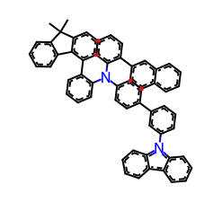 CC1(C)c2ccccc2-c2c(-c3ccccc3N(c3ccc(-c4cccc(-n5c6ccccc6c6ccccc65)c4)cc3)c3ccccc3-c3ccc4ccccc4c3)cccc21